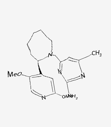 COc1cc([C@H]2CCCCCN2c2cc(C)nc(N)n2)c(OC)cn1